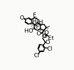 CCC(=O)O[C@]1(C(=O)OCC(=O)c2ccc(Cl)cc2Cl)[C@H](C)C[C@H]2[C@@H]3C[C@H](F)C4=CC(=O)C=C[C@]4(C)[C@@]3(F)[C@@H](O)C[C@@]21C